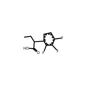 CCC(C(=O)O)c1ccc(F)c(F)c1F